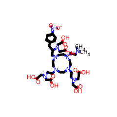 CN(C)CCN1CCN(CCN(CC(=O)O)CC(=O)O)CCN(CCN(CC(=O)O)CC(=O)O)CCN(CC(Cc2ccc([N+](=O)[O-])cc2)N(CC(=O)O)CC(=O)O)CC1